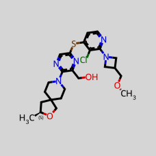 COCC1CN(c2nccc(Sc3cnc(N4CCC5(CC4)CO[C@@H](C)C5)c(CO)n3)c2Cl)C1